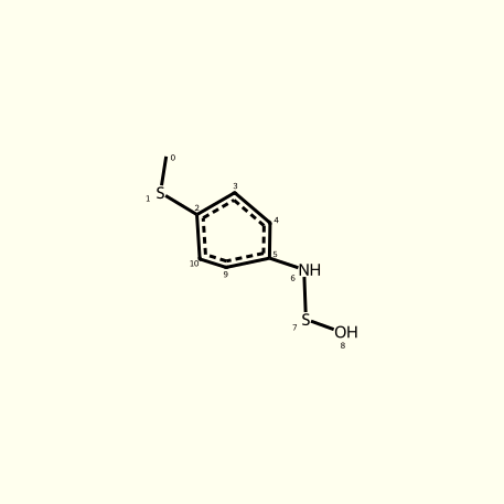 CSc1ccc(NSO)cc1